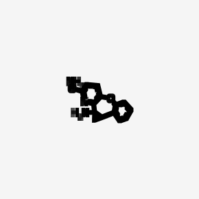 NOc1ccc2c(n1)C1(N)CC1c1ccccc1O2